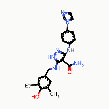 CCc1cc(CNc2[nH]nc(Nc3ccc(-n4ccnc4)cc3)c2C(N)=O)cc(C)c1O